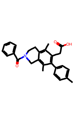 Cc1ccc(-c2c(C)c3c(c(C)c2CC(=O)O)CCN(C(=O)c2ccccc2)C3)cc1